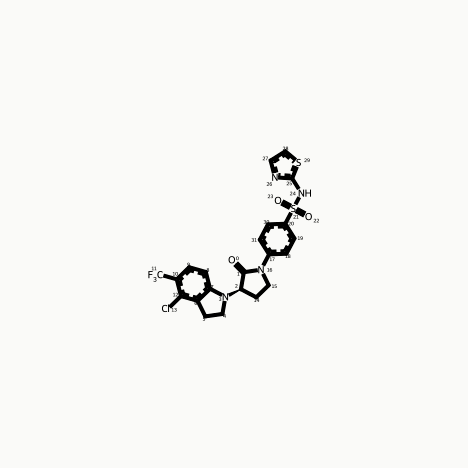 O=C1[C@H](N2CCc3c2ccc(C(F)(F)F)c3Cl)CCN1c1ccc(S(=O)(=O)Nc2nccs2)cc1